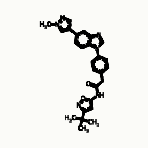 Cn1cc(-c2ccc3c(c2)ncn3-c2ccc(CC(=O)Nc3cc(C(C)(C)C)no3)cc2)cn1